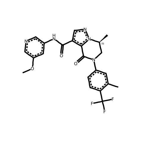 COc1cncc(NC(=O)c2cnn3c2C(=O)N(c2ccc(C(F)(F)F)c(C)c2)C[C@@H]3C)c1